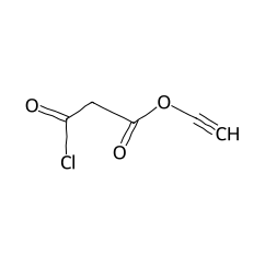 C#COC(=O)CC(=O)Cl